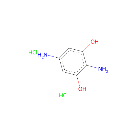 Cl.Cl.Nc1cc(O)c(N)c(O)c1